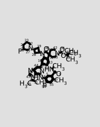 CNC(=O)c1cc(Nc2nc(-c3ccc4c(c3)N([C@H]3C[C@@H](N5CCC[C@@H](F)C5)C3)C(=O)C43CCN(C(=O)OC(C)(C)C)CC3)cc3ncn(C(C)C)c23)c(F)cc1C